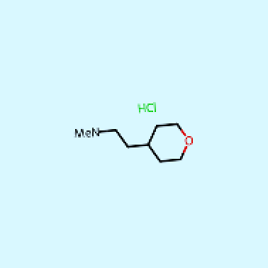 CNCCC1CCOCC1.Cl